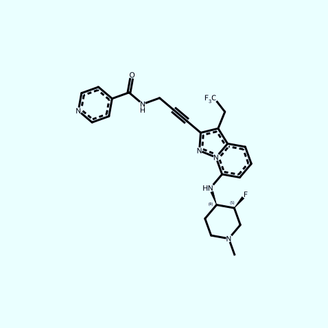 CN1CC[C@@H](Nc2cccc3c(CC(F)(F)F)c(C#CCNC(=O)c4ccncc4)nn23)[C@@H](F)C1